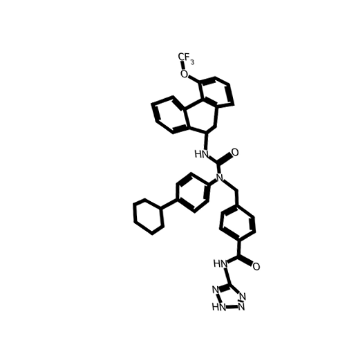 O=C(Nc1nn[nH]n1)c1ccc(CN(C(=O)NC2Cc3cccc(OC(F)(F)F)c3-c3ccccc32)c2ccc(C3CCCCC3)cc2)cc1